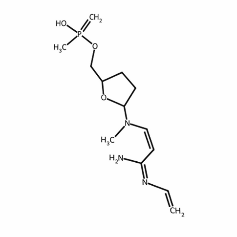 C=C/N=C(N)\C=C/N(C)C1CCC(COP(=C)(C)O)O1